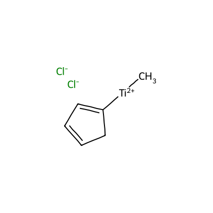 [CH3][Ti+2][C]1=CC=CC1.[Cl-].[Cl-]